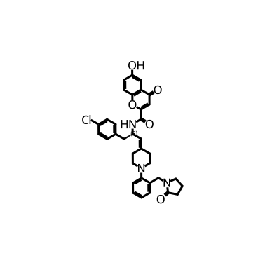 O=C(N[C@@H](C=C1CCN(c2ccccc2CN2CCCC2=O)CC1)Cc1ccc(Cl)cc1)c1cc(=O)c2cc(O)ccc2o1